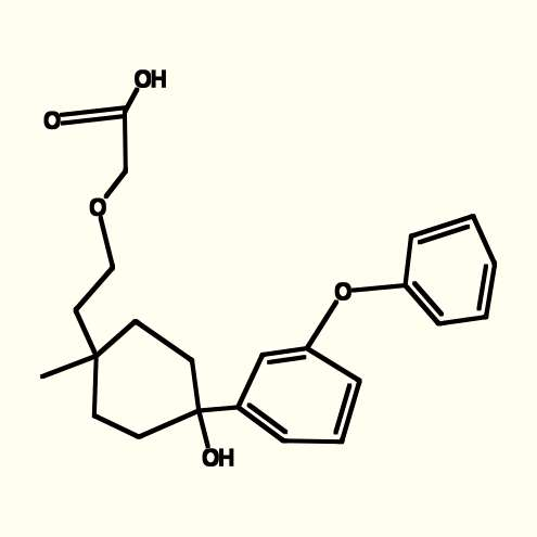 CC1(CCOCC(=O)O)CCC(O)(c2cccc(Oc3ccccc3)c2)CC1